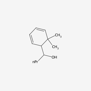 CCCC(O)C1C=CC=CC1(C)C